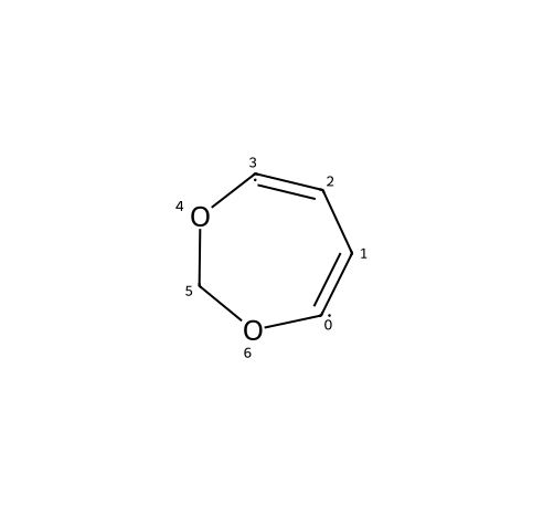 [C]1=CC=[C]OCO1